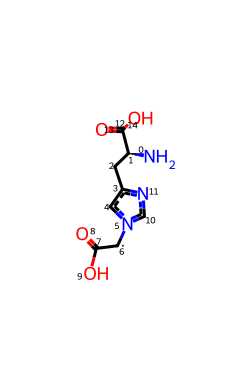 N[C@@H](Cc1cn([CH]C(=O)O)cn1)C(=O)O